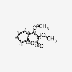 COc1c(OC)c2ccccc2oc1=O